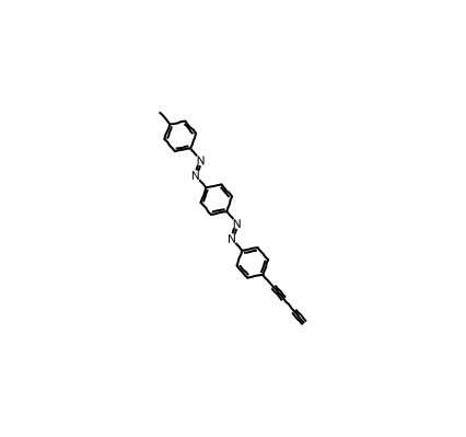 C#CC#Cc1ccc(N=Nc2ccc(N=Nc3ccc(C)cc3)cc2)cc1